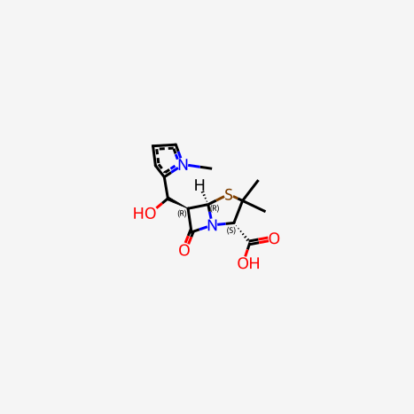 Cn1cccc1C(O)[C@@H]1C(=O)N2[C@@H]1SC(C)(C)[C@@H]2C(=O)O